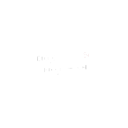 CCOC(=O)CBr.CCOC(C)=O